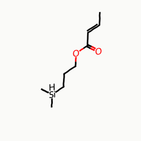 CC=CC(=O)OCCC[SiH](C)C